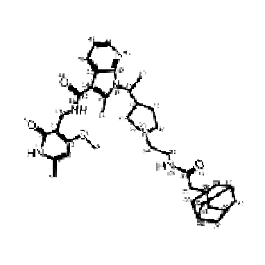 CSc1cc(C)[nH]c(=O)c1CNC(=O)c1c(C)n(C(C)C2CCN(CCNC(=O)CC34CC5CC(CC(C5)C3)C4)CC2)c2ncccc12